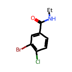 CCNC(=O)c1ccc(Cl)c(Br)c1